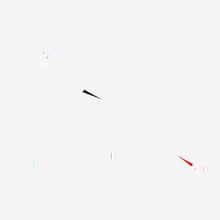 O[C@@H]1CC2C[C@H](c3ccnc4ccc(F)cc34)C[C@@H]2C1